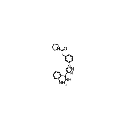 N=C(c1cn(-c2cccc(CC(=O)N3CCCC3)c2)nn1)c1ccccc1N